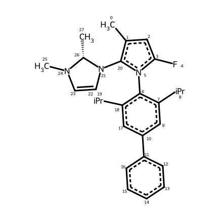 Cc1cc(F)n(-c2c(C(C)C)cc(-c3ccccc3)cc2C(C)C)c1N1C=CN(C)[C@@H]1C